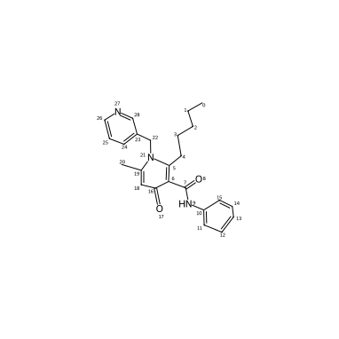 CCCCCc1c(C(=O)Nc2ccccc2)c(=O)cc(C)n1Cc1cccnc1